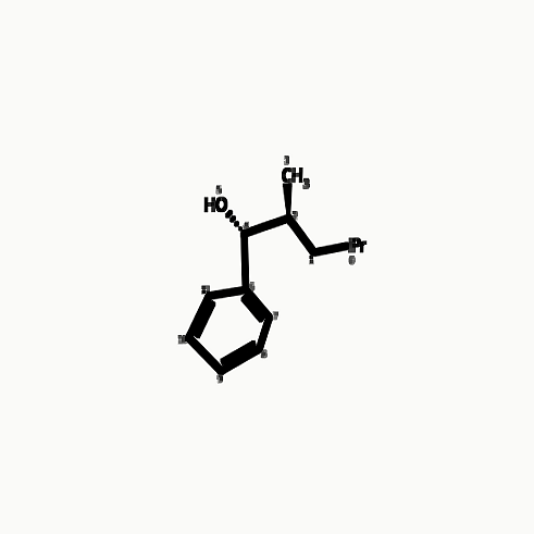 CC(C)C[C@H](C)[C@@H](O)c1ccccc1